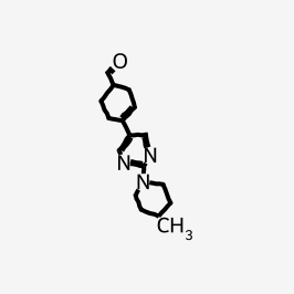 CC1CCN(c2ncc(C3=CCC(C=O)CC3)cn2)CC1